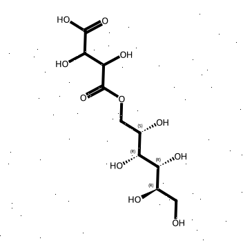 O=C(O)C(O)C(O)C(=O)OC[C@H](O)[C@@H](O)[C@H](O)[C@H](O)CO